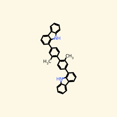 Cc1cc(-c2cccc3c2[nH]c2ccccc23)ccc1-c1ccc(-c2cccc3c2[nH]c2ccccc23)cc1C